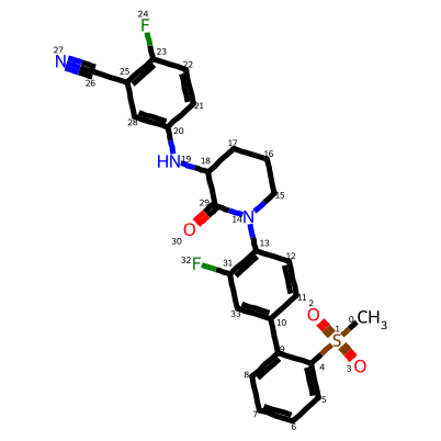 CS(=O)(=O)c1ccccc1-c1ccc(N2CCCC(Nc3ccc(F)c(C#N)c3)C2=O)c(F)c1